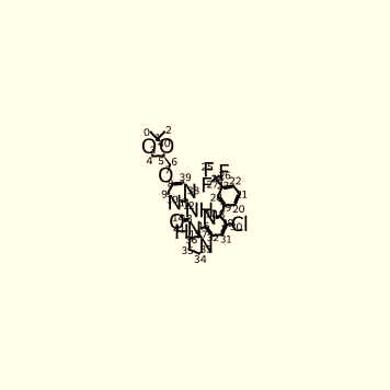 CC1(C)OC[C@H](COc2cnc(NC(=O)N3c4nc(-c5cccc(C(F)(F)F)c5)c(Cl)cc4N4CC[C@H]3C4)nc2)O1